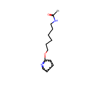 CCC(=O)NCCCCCCOc1ccccn1